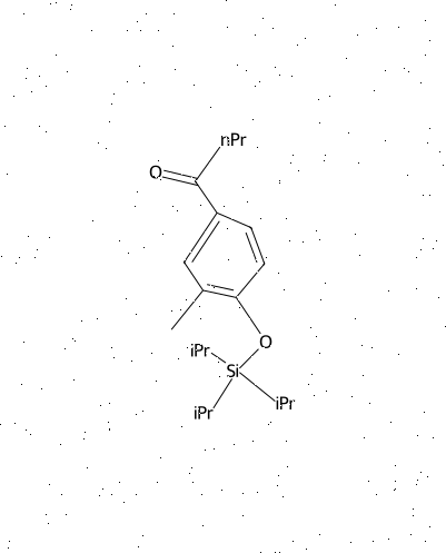 CCCC(=O)c1ccc(O[Si](C(C)C)(C(C)C)C(C)C)c(C)c1